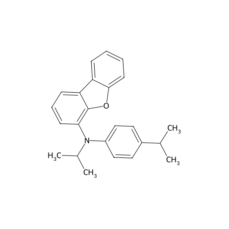 CC(C)c1ccc(N(c2cccc3c2oc2ccccc23)C(C)C)cc1